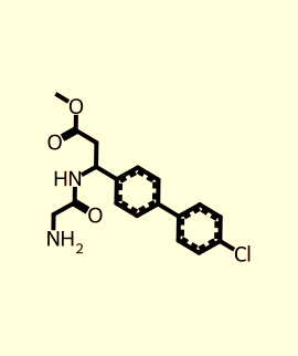 COC(=O)CC(NC(=O)CN)c1ccc(-c2ccc(Cl)cc2)cc1